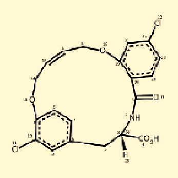 O=C1N[C@H](C(=O)O)Cc2ccc(c(Cl)c2)OCC=CCOc2cc(Cl)ccc21